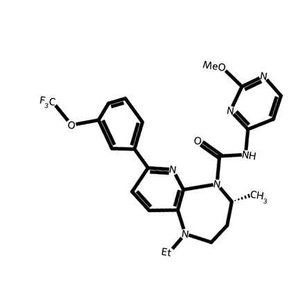 CCN1CC[C@@H](C)N(C(=O)Nc2ccnc(OC)n2)c2nc(-c3cccc(OC(F)(F)F)c3)ccc21